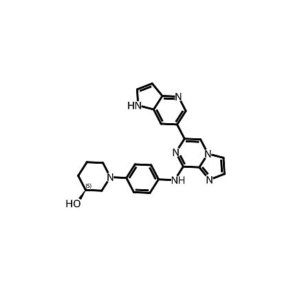 O[C@H]1CCCN(c2ccc(Nc3nc(-c4cnc5cc[nH]c5c4)cn4ccnc34)cc2)C1